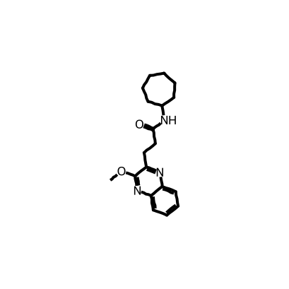 COc1nc2ccccc2nc1CCC(=O)NC1CCCCCC1